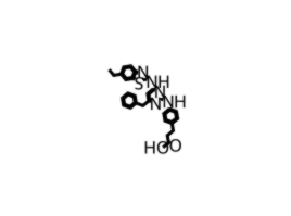 CCc1ccc2nc(Nc3cc(Cc4ccccc4)nc(Nc4ccc(CCC(=O)O)cc4)n3)sc2c1